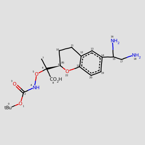 CC(C)(C)OC(=O)NOC(C)(C(=O)O)[C@H]1CCc2cc(C(N)CN)ccc2O1